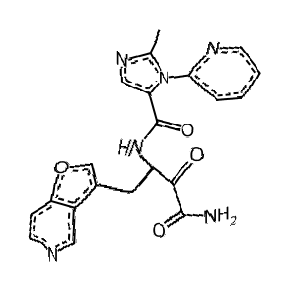 Cc1ncc(C(=O)NC(Cc2coc3ccncc23)C(=O)C(N)=O)n1-c1ccccn1